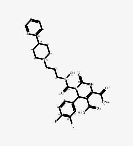 COC(=O)C1=C(C(=O)OC)C(c2ccc(F)c(F)c2)N(C(=O)N(O)CCCN2CCC(c3ccccn3)CC2)C(=O)N1